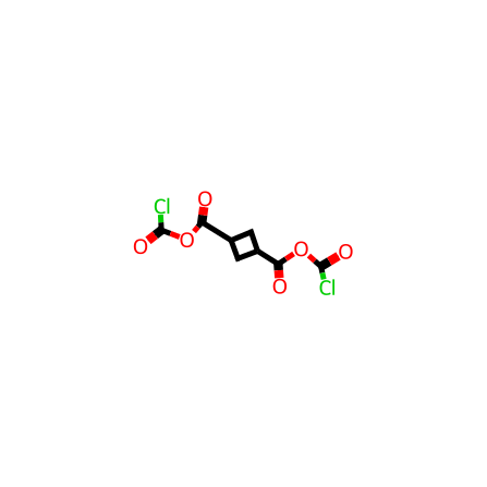 O=C(Cl)OC(=O)C1CC(C(=O)OC(=O)Cl)C1